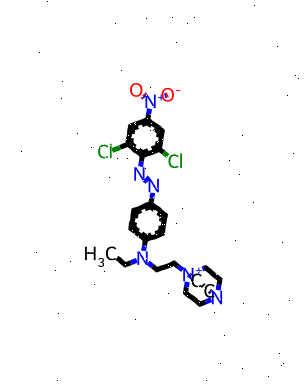 CCN(CC[N+]12CCN(CC1)CC2)c1ccc(/N=N/c2c(Cl)cc([N+](=O)[O-])cc2Cl)cc1